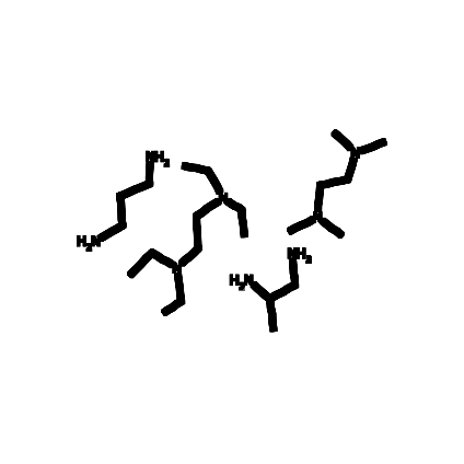 CC(N)CN.CCN(CC)CCN(CC)CC.CN(C)CCN(C)C.NCCCN